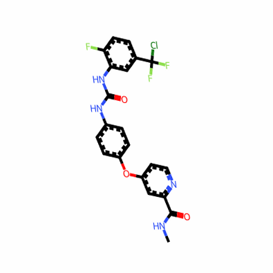 CNC(=O)c1cc(Oc2ccc(NC(=O)Nc3cc(C(F)(F)Cl)ccc3F)cc2)ccn1